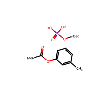 CCCCCCCCCCOP(=O)(O)O.CNC(=O)Oc1cccc(C)c1